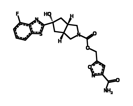 NC(=O)c1cc(COC(=O)N2C[C@@H]3C[C@@](O)(c4nc5c(F)cccc5s4)C[C@@H]3C2)on1